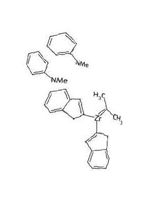 CNc1ccccc1.CNc1ccccc1.C[C](C)=[Zr]([C]1=Cc2ccccc2C1)[C]1=Cc2ccccc2C1